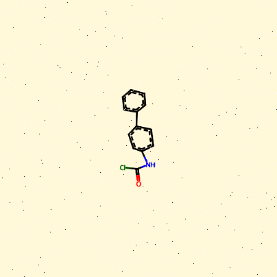 O=C(Cl)Nc1ccc(-c2ccccc2)cc1